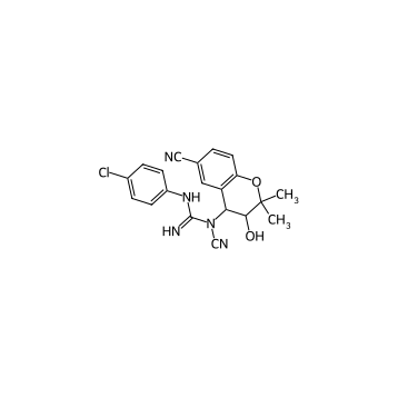 CC1(C)Oc2ccc(C#N)cc2C(N(C#N)C(=N)Nc2ccc(Cl)cc2)C1O